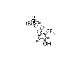 Cc1cc(C(C)(C)CO[Si](C)(C)C(C)(C)C)c(C(F)(F)F)cc1O